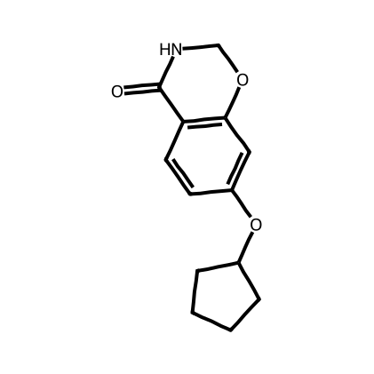 O=C1NCOc2cc(OC3CCCC3)ccc21